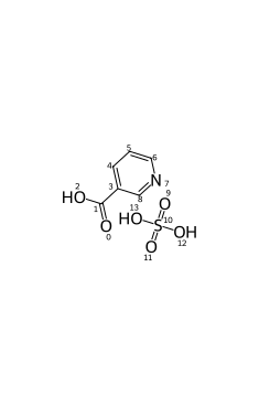 O=C(O)c1cccnc1.O=S(=O)(O)O